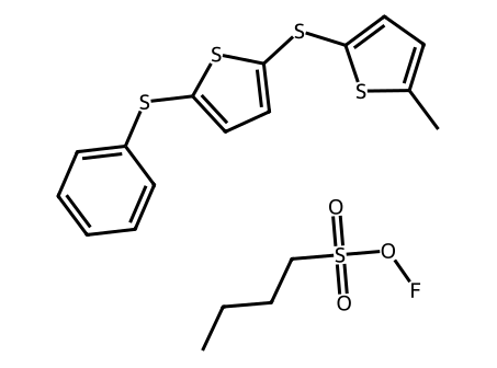 CCCCS(=O)(=O)OF.Cc1ccc(Sc2ccc(Sc3ccccc3)s2)s1